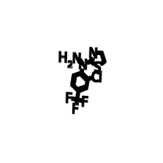 NN(C1=NCCS1)c1ccc(C(F)(F)F)cc1Cl